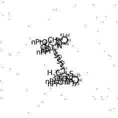 CCCO[Si](OCCC)(OCCC)C(C)C(CSSSSSSCC(c1nc2ccccc2s1)C(C)[Si](OCCC)(OCCC)OCCC)c1nc2ccccc2s1